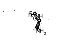 Nc1ncc2c(n1)CN(c1cccc(C(=O)Nc3cccc(C(F)(F)F)c3)c1)C2